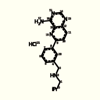 CC(C)CNCc1cccc(-c2ccc3ncnc(N)c3n2)c1.Cl